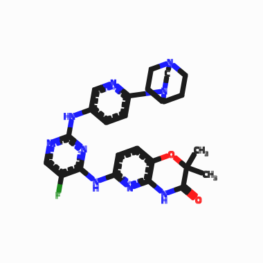 CC1(C)Oc2ccc(Nc3nc(Nc4ccc(N5CN6CCC5CC6)nc4)ncc3F)nc2NC1=O